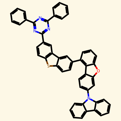 c1ccc(-c2nc(-c3ccccc3)nc(-c3ccc4sc5ccc(-c6cccc7oc8cc(-n9c%10ccccc%10c%10ccccc%109)ccc8c67)cc5c4c3)n2)cc1